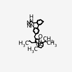 CCCc1c(Cc2ccc(-c3ccccc3-c3nnn[nH]3)cc2)c(=O)n2n1C1(C)CCC2(C(C)C)CC1